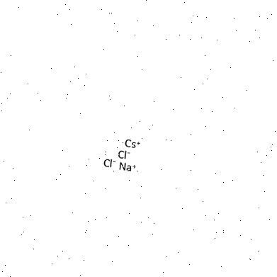 [Cl-].[Cl-].[Cs+].[Na+]